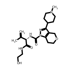 C=C(C)[C@H](NC(=O)n1nc(C2CCN(C)CC2)c2c1CCOC2)C(=O)NCCO